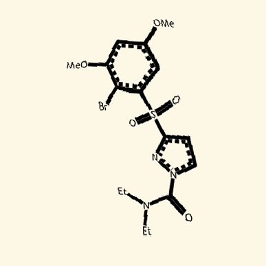 CCN(CC)C(=O)n1ccc(S(=O)(=O)c2cc(OC)cc(OC)c2Br)n1